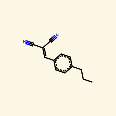 CCCc1ccc(C=C(C#N)C#N)cc1